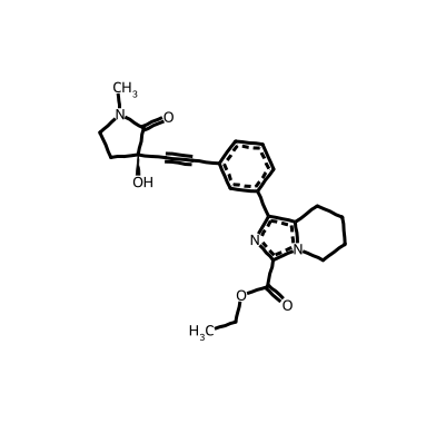 CCOC(=O)c1nc(-c2cccc(C#C[C@]3(O)CCN(C)C3=O)c2)c2n1CCCC2